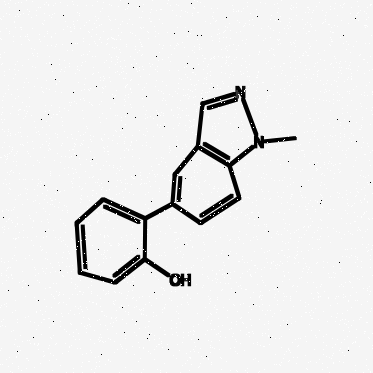 Cn1ncc2cc(-c3ccccc3O)ccc21